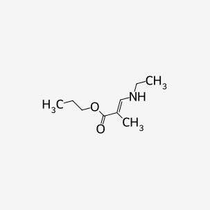 CCCOC(=O)C(C)=CNCC